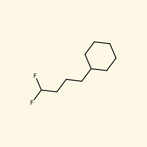 FC(F)CCCC1CCCCC1